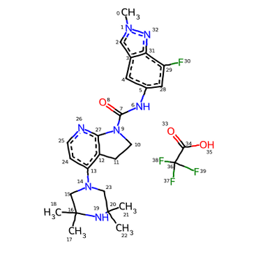 Cn1cc2cc(NC(=O)N3CCc4c(N5CC(C)(C)NC(C)(C)C5)ccnc43)cc(F)c2n1.O=C(O)C(F)(F)F